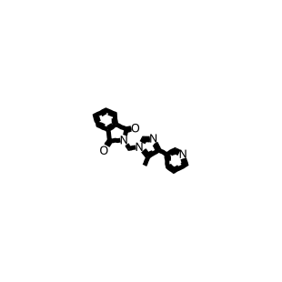 Cc1c(-c2cccnc2)ncn1CN1C(=O)c2ccccc2C1=O